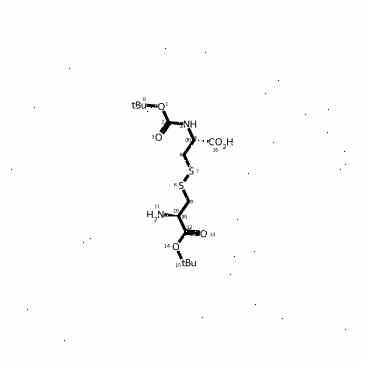 CC(C)(C)OC(=O)N[C@@H](CSSC[C@H](N)C(=O)OC(C)(C)C)C(=O)O